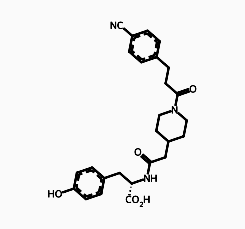 N#Cc1ccc(CCC(=O)N2CCC(CC(=O)N[C@@H](Cc3ccc(O)cc3)C(=O)O)CC2)cc1